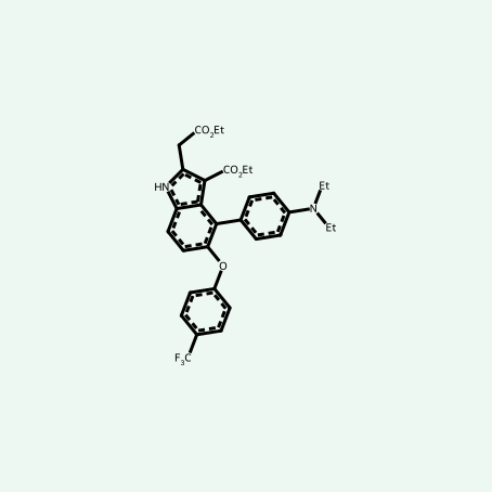 CCOC(=O)Cc1[nH]c2ccc(Oc3ccc(C(F)(F)F)cc3)c(-c3ccc(N(CC)CC)cc3)c2c1C(=O)OCC